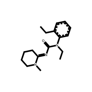 CCc1ccccc1N(CC)C(=O)N=C1CCCCN1C